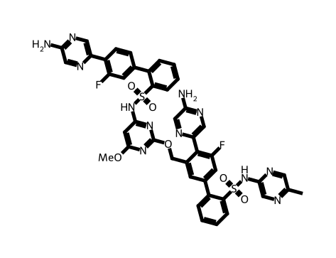 COc1cc(NS(=O)(=O)c2ccccc2-c2ccc(-c3cnc(N)cn3)c(F)c2)nc(OCc2cc(-c3ccccc3S(=O)(=O)Nc3cnc(C)cn3)cc(F)c2-c2cnc(N)cn2)n1